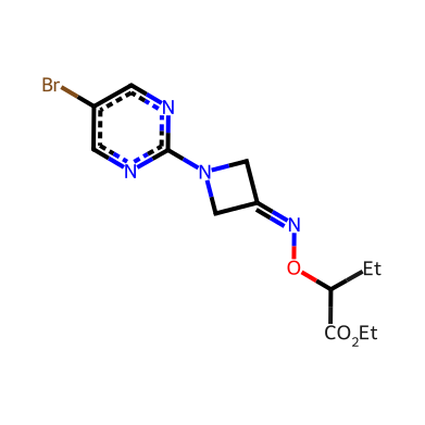 CCOC(=O)C(CC)ON=C1CN(c2ncc(Br)cn2)C1